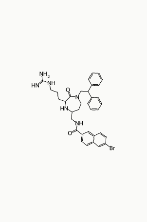 N=C(N)NCCCC1NC(CNC(=O)c2ccc3cc(Br)ccc3c2)CCN(CC(c2ccccc2)c2ccccc2)C1=O